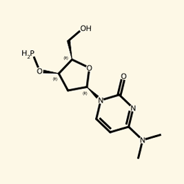 CN(C)c1ccn([C@H]2C[C@@H](OP)[C@@H](CO)O2)c(=O)n1